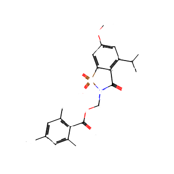 COc1cc(C(C)C)c2c(c1)S(=O)(=O)N(COC(=O)c1c(C)cc(C)cc1C)C2=O